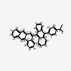 CC(C)c1ccc(-c2c3ccccc3c(-c3cc4cc5ccccc5cc4c4ccccc34)c3ccccc23)cc1